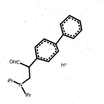 CC(C)N(CC(C=O)c1ccc(-c2ccccc2)cc1)C(C)C.[H+]